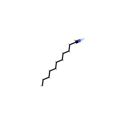 [CH2]CCCCCCCCCC#N